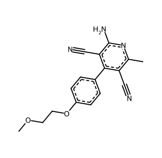 COCCOc1ccc(-c2c(C#N)c(C)nc(N)c2C#N)cc1